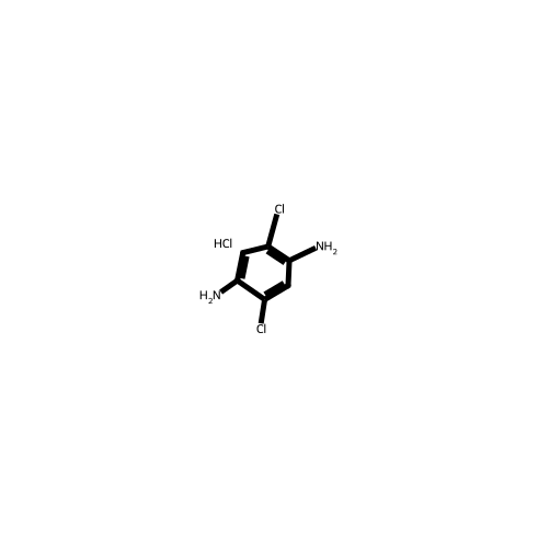 Cl.Nc1cc(Cl)c(N)cc1Cl